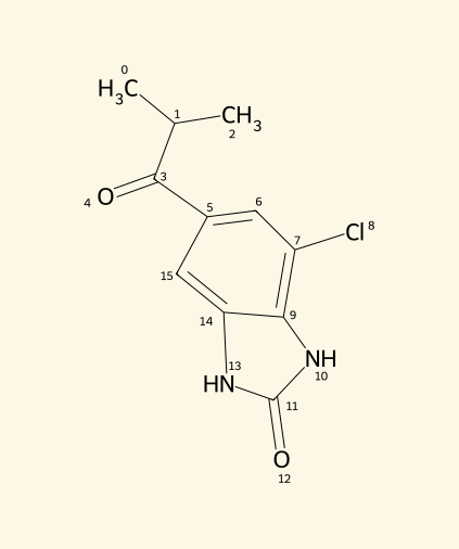 CC(C)C(=O)c1cc(Cl)c2[nH]c(=O)[nH]c2c1